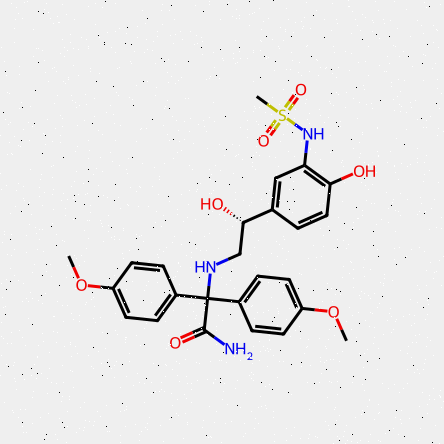 COc1ccc(C(NC[C@H](O)c2ccc(O)c(NS(C)(=O)=O)c2)(C(N)=O)c2ccc(OC)cc2)cc1